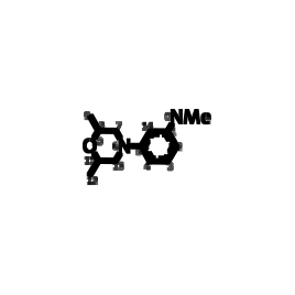 CNc1cccc(N2CC(C)OC(C)C2)c1